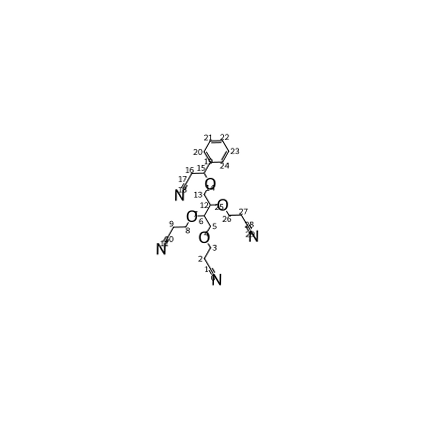 N#CCCOCC(OCCC#N)C(COC(CC#N)c1ccccc1)OCCC#N